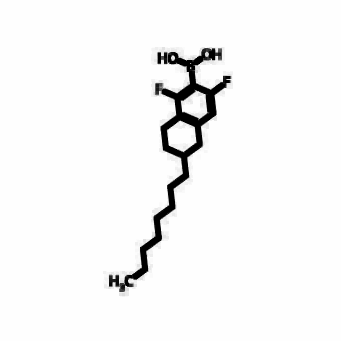 CCCCCCCCC1CCc2c(cc(F)c(B(O)O)c2F)C1